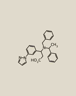 CC(c1ccccc1)N(Cc1ccccc1)C(CC(=O)O)c1cccc(-n2cccn2)c1